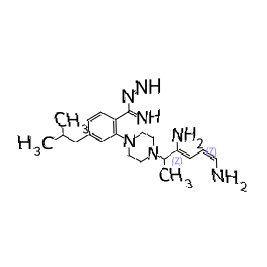 CC(C)Cc1ccc(C(=N)N=N)c(N2CCN(C(C)/C(N)=C/C=C\N)CC2)c1